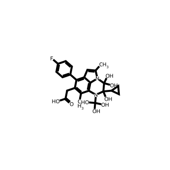 Cc1c(CC(=O)O)c(-c2ccc(F)cc2)c2cc(C)n3c2c1N(C(O)(O)O)C(O)(C1CC1)C3(O)O